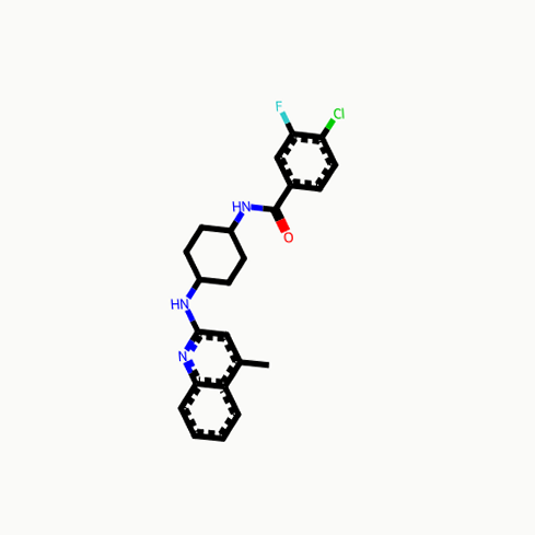 Cc1cc(NC2CCC(NC(=O)c3ccc(Cl)c(F)c3)CC2)nc2ccccc12